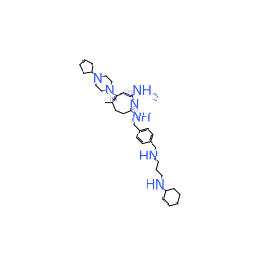 C/C1=C(N2CCN(C3CCCC3)CC2)/C=C(N)\N=C(\NCc2ccc(CNCCCNC3CCCCC3)cc2)CC1